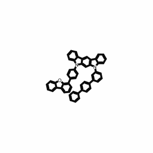 c1ccc(-c2ccc(-c3cccc(-n4c5ccccc5c5cc6c7ccccc7n(-c7ccc(-c8cccc9c8oc8ccccc89)cc7)c6cc54)c3)cc2)cc1